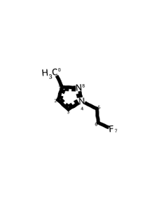 Cc1ccn(CCF)n1